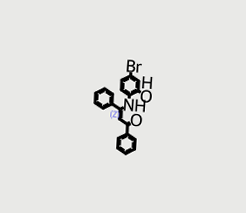 O=C(/C=C(\Nc1ccc(Br)cc1O)c1ccccc1)c1ccccc1